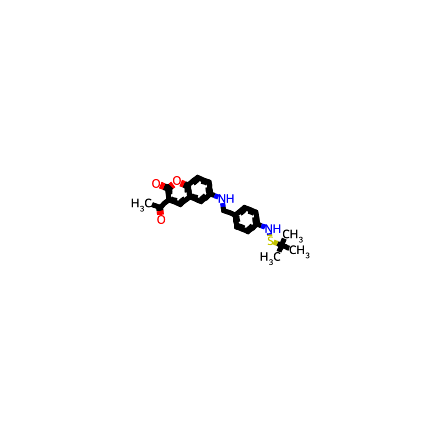 CC(=O)c1cc2cc(NCc3ccc(NSC(C)(C)C)cc3)ccc2oc1=O